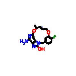 CC1/C=C/COc2cc(ccc2F)Cn2c(O)nc3c(N)nc(cc32)O1